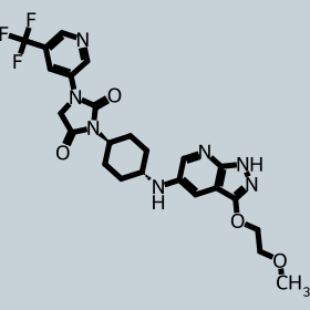 COCCOc1n[nH]c2ncc(N[C@H]3CC[C@H](N4C(=O)CN(c5cncc(C(F)(F)F)c5)C4=O)CC3)cc12